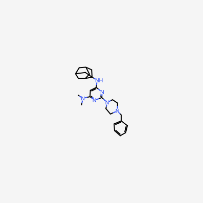 CN(C)c1cc(NC23CC4CC(CC2C4)C3)nc(N2CCN(Cc3ccccc3)CC2)n1